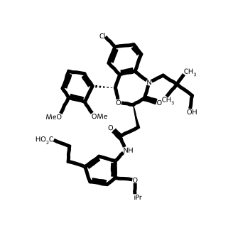 COc1cccc([C@H]2O[C@H](CC(=O)Nc3cc(CCC(=O)O)ccc3OC(C)C)C(=O)N(CC(C)(C)CO)c3ccc(Cl)cc32)c1OC